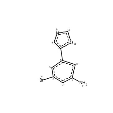 Nc1cc(Br)cc(-c2cnco2)c1